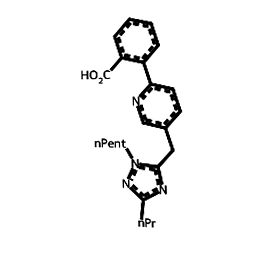 CCCCCn1nc(CCC)nc1Cc1ccc(-c2ccccc2C(=O)O)nc1